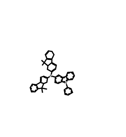 CC1(C)C2=C(CCC=C2)C2=CC=C(N(C3=CC=C4c5ccccc5C(C)(C)C4C3)c3ccc4c(c3)c3ccccc3n4-c3ccccc3)CC21